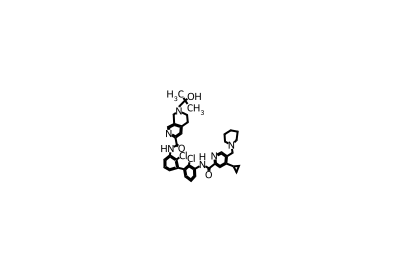 CC(C)(O)CN1CCc2cc(C(=O)Nc3cccc(-c4cccc(NC(=O)c5cc(C6CC6)c(CN6CCCCC6)cn5)c4Cl)c3Cl)ncc2C1